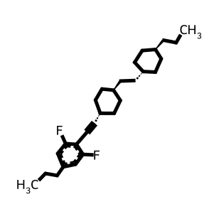 CCCc1cc(F)c(C#C[C@H]2CC[C@H](CC[C@H]3CC[C@H](CCC)CC3)CC2)c(F)c1